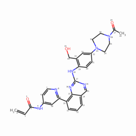 C=CC(=O)Nc1ccnc(-c2cccc3cnc(Nc4ccc(N5CCN(C(C)=O)CC5)cc4CO)nc23)c1